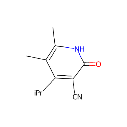 Cc1[nH]c(=O)c(C#N)c(C(C)C)c1C